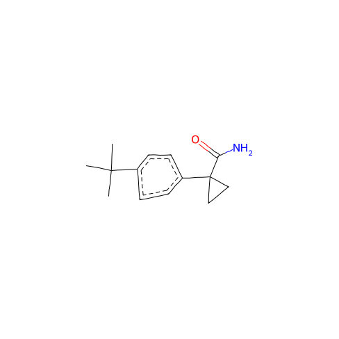 CC(C)(C)c1ccc(C2(C(N)=O)CC2)cc1